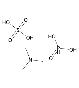 CN(C)C.O=S(=O)(O)O.O=[PH](O)O